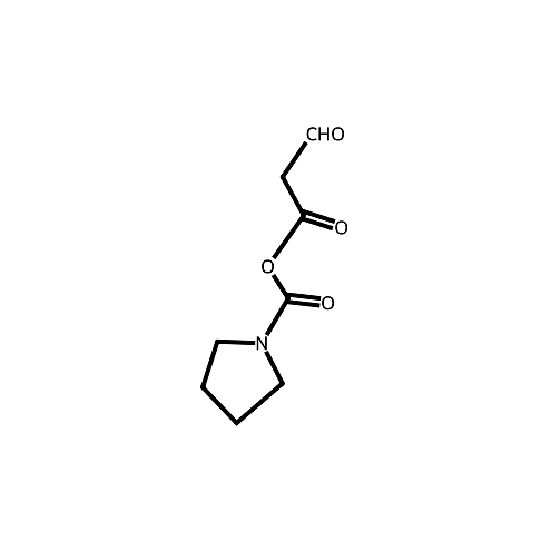 O=CCC(=O)OC(=O)N1CCCC1